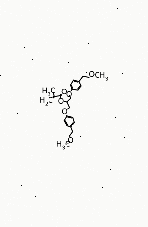 C=C(C)C(=O)OC(COc1ccc(CCOC)cc1)COc1ccc(CCOC)cc1